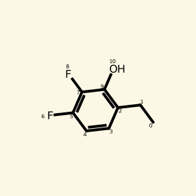 CCc1ccc(F)c(F)c1O